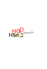 CCCCCCC1=C(C(=O)O)[SH]([SnH])C=C1